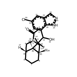 CC(=O)N1C[C@H]2CCC[C@@H](C1)[C@@H]2C(F)(F)C(O)c1cc(Cl)cc2cn[nH]c12